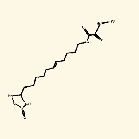 CCCCNC(=O)C(=O)NCCCC/C=C/CCCCCC1NOS(=O)N1